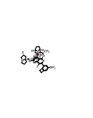 C[C@@H]1Oc2nc(-c3cc(N)cc4c3CC4)c(F)c3nc(OC[C@@]45CCCN4C[C@H](F)C5)nc(c23)N2C[C@H]3CC[C@@H]([C@@H]12)N3C(=O)OC(C)(C)C